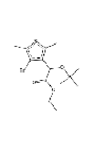 CCOC(=O)C(OC(C)(C)C)c1c(C)sc(C)c1Br